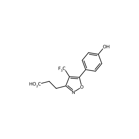 O=C(O)CCc1noc(-c2ccc(O)cc2)c1C(F)(F)F